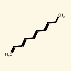 [CH2]CC=CC=CC=CC=C